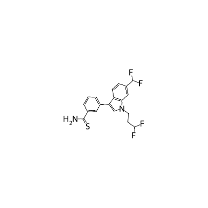 NC(=S)c1cccc(-c2cn(CCC(F)F)c3cc(C(F)F)ccc23)c1